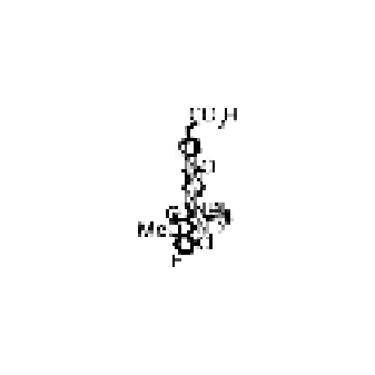 COC(=O)C1=C(CN2CCN3C(=O)N(c4ccc(CCC(=O)O)cn4)CC3C2)NC(c2nccs2)=NC1c1ccc(F)cc1Cl